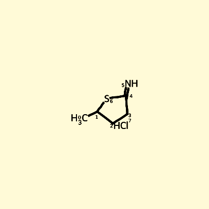 CC1CCC(=N)S1.Cl